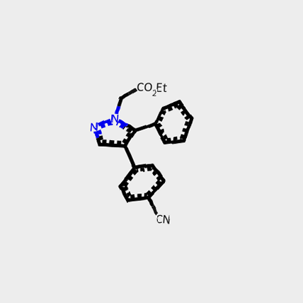 CCOC(=O)Cn1ncc(-c2ccc(C#N)cc2)c1-c1ccccc1